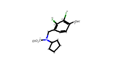 CCCCCCCCCCc1ccc(CN(C(=O)OCC)C2CCCC2)c(F)c1F